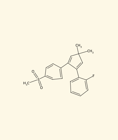 CC1(C)C=C(c2ccc(S(C)(=O)=O)cc2)C(c2ccccc2F)=C1